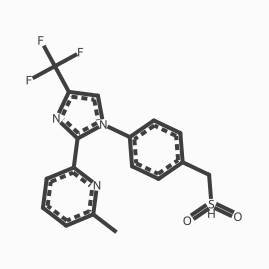 Cc1cccc(-c2nc(C(F)(F)F)cn2-c2ccc(C[SH](=O)=O)cc2)n1